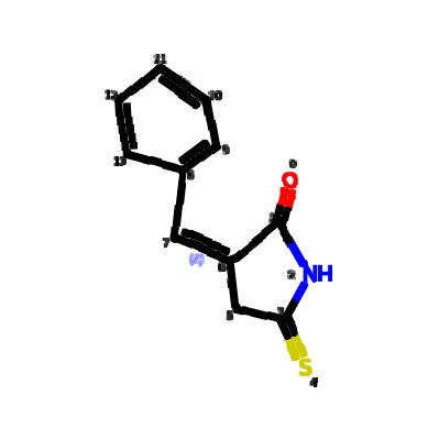 O=C1NC(=S)C/C1=C/c1ccccc1